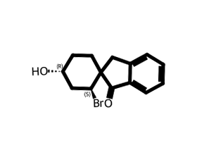 O=C1c2ccccc2CC12CC[C@@H](O)C[C@@H]2Br